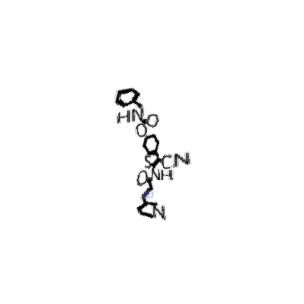 N#Cc1c(NC(=O)/C=C/c2cccnc2)sc2c1CCC(OC(=O)NCc1ccccc1)C2